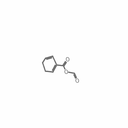 O=COC(=O)C1=CCCC=C1